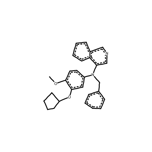 COc1ccc(N(Cc2ccccc2)c2cncc3ccccc23)cc1OC1CCCC1